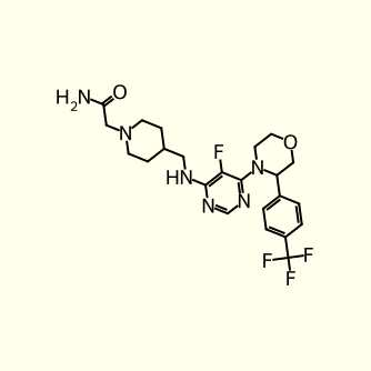 NC(=O)CN1CCC(CNc2ncnc(N3CCOCC3c3ccc(C(F)(F)F)cc3)c2F)CC1